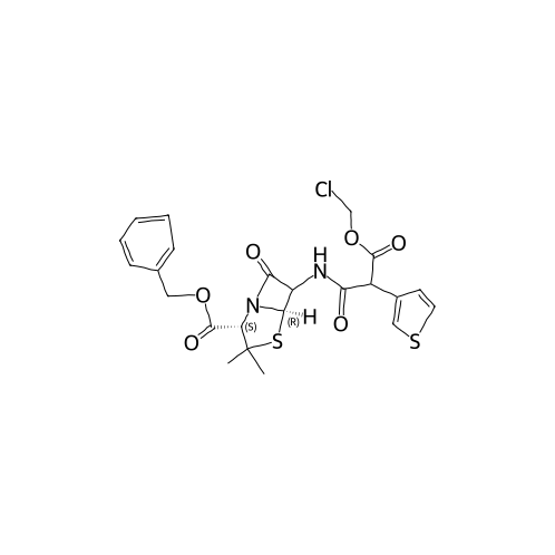 CC1(C)S[C@@H]2C(NC(=O)C(C(=O)OCCl)c3ccsc3)C(=O)N2[C@H]1C(=O)OCc1ccccc1